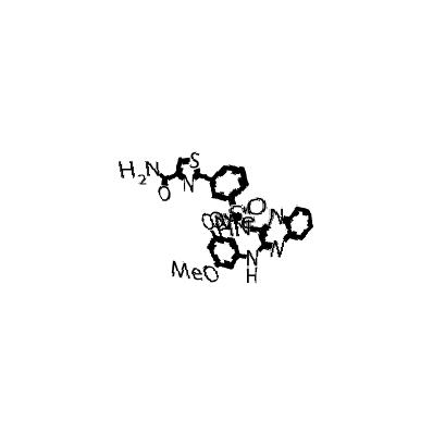 COc1cc(Nc2nc3ccccc3nc2NS(=O)(=O)c2cccc(-c3nc(C(N)=O)cs3)c2)cc(OC)c1